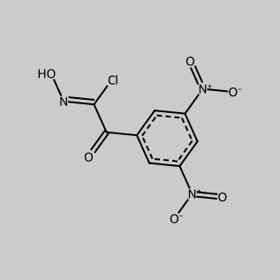 O=C(C(Cl)=NO)c1cc([N+](=O)[O-])cc([N+](=O)[O-])c1